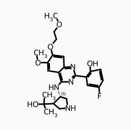 COCCOc1cc2nc(-c3cc(F)ccc3O)nc(N[C@@H]3CNCC3C(C)(C)O)c2cc1OC